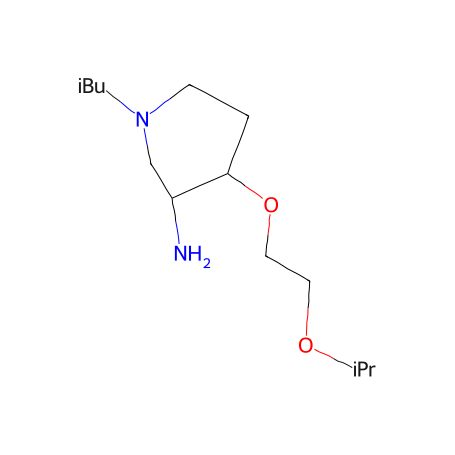 CCC(C)N1CCC(OCCOC(C)C)C(N)C1